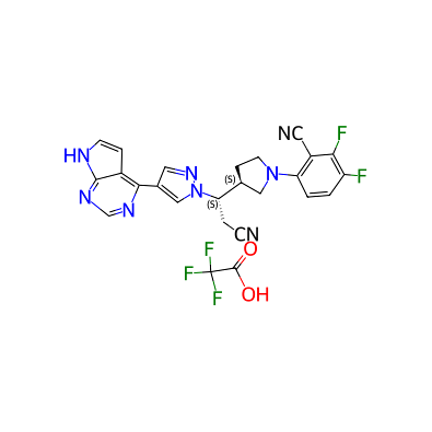 N#CC[C@@H]([C@H]1CCN(c2ccc(F)c(F)c2C#N)C1)n1cc(-c2ncnc3[nH]ccc23)cn1.O=C(O)C(F)(F)F